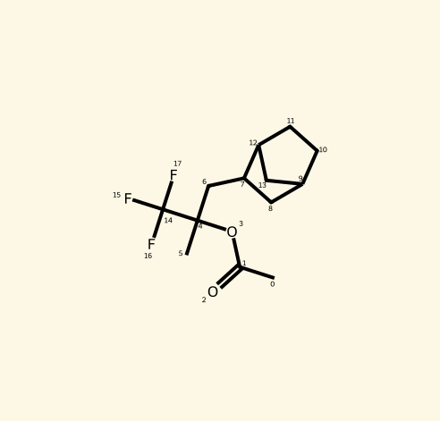 CC(=O)OC(C)(CC1CC2CCC1C2)C(F)(F)F